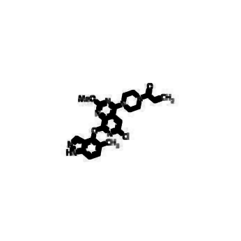 C=CC(=O)N1CCN(c2nc(OC)nc3c(Oc4c(C)ccc5[nH]ncc45)nc(Cl)cc23)CC1